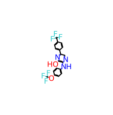 Oc1nc(-c2ccc(C(F)(F)F)cc2)cnc1Nc1ccc(OC(F)(F)F)cc1